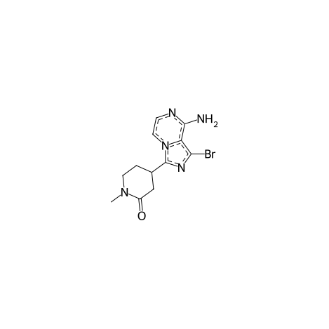 CN1CCC(c2nc(Br)c3c(N)nccn23)CC1=O